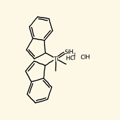 Cl.Cl.[CH3][Ti]([CH3])(=[SiH2])([CH]1C=Cc2ccccc21)[CH]1C=Cc2ccccc21